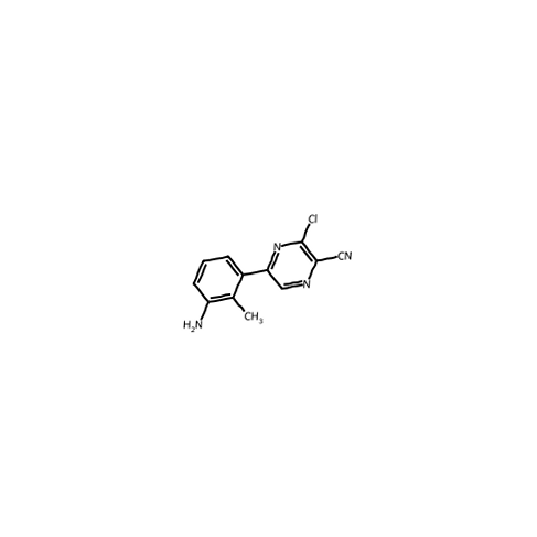 Cc1c(N)cccc1-c1cnc(C#N)c(Cl)n1